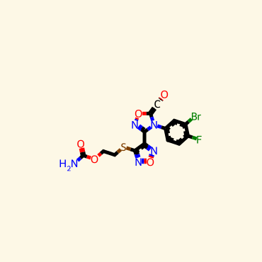 NC(=O)OCCSc1nonc1C1=NOC(=C=O)N1c1ccc(F)c(Br)c1